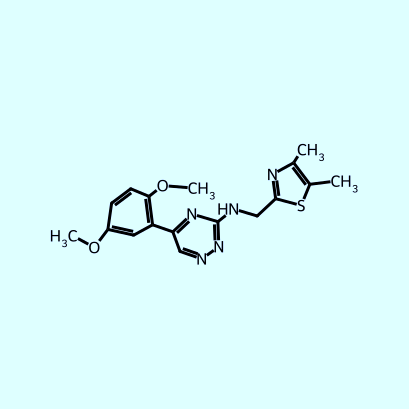 COc1ccc(OC)c(-c2cnnc(NCc3nc(C)c(C)s3)n2)c1